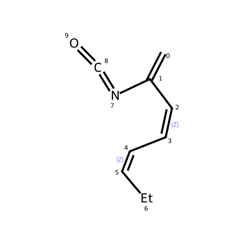 C=C(/C=C\C=C/CC)N=C=O